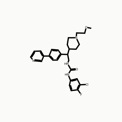 COCCN1CCC(C(CNC(=O)Nc2ccc(F)c(Cl)c2)c2ccc(-c3cccnc3)cc2)CC1